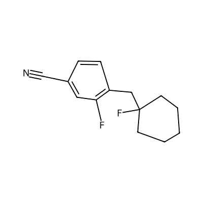 N#Cc1ccc(CC2(F)CCCCC2)c(F)c1